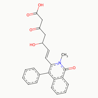 Cn1c(/C=C/C(O)CC(=O)CC(=O)O)c(-c2ccccc2)c2ccccc2c1=O